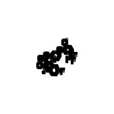 COc1ccc(C(F)(F)F)cc1OC1CCN(c2c([N+](=O)[O-])c(=O)n(C)c3ccc(F)cc23)CC1